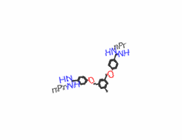 CCCNC(=N)c1ccc(OCc2cc(C)cc(COc3ccc(C(=N)NCCC)cc3)c2)cc1